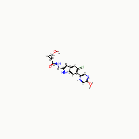 COc1cnc(-c2cc3[nH]c(CNC(=O)[C@H]4C[C@@H]4OC)cc3cc2Cl)cn1